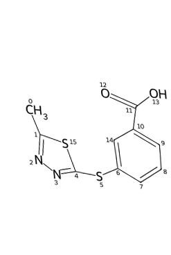 Cc1nnc(Sc2cccc(C(=O)O)c2)s1